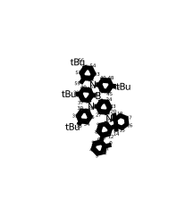 Cc1ccccc1-c1ccc2c(c1)C1(C)CCCCC1(C)N2c1ccc2c(c1)N(c1ccc(C(C)(C)C)cc1)c1cc(C(C)(C)C)cc3c1B2c1cc(C(C)(C)C)ccc1N3c1ccc(C(C)(C)C)cc1C